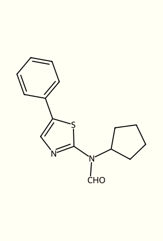 O=CN(c1ncc(-c2ccccc2)s1)C1CCCC1